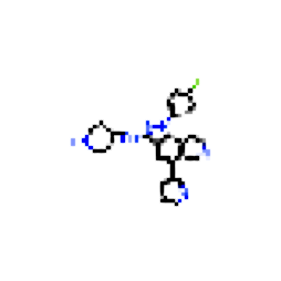 Fc1ccc(-n2nc(NCC3CCNCC3)c3cc(-c4cccnc4)c4cnccc4c32)cc1